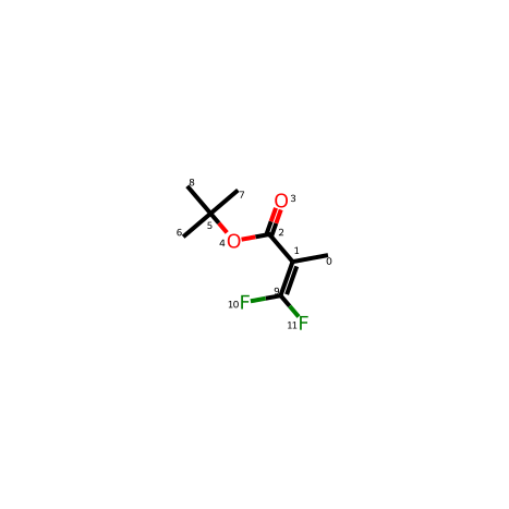 CC(C(=O)OC(C)(C)C)=C(F)F